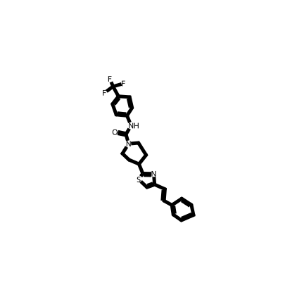 O=C(Nc1ccc(C(F)(F)F)cc1)N1CCC(c2nc(C=Cc3ccccc3)cs2)CC1